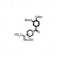 COc1ccc(C(=O)N2CC[C@@H](N(C(=O)O)C(C)(C)C)[C@@H](O)C2)cc1OC